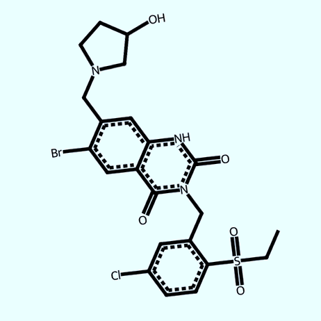 CCS(=O)(=O)c1ccc(Cl)cc1Cn1c(=O)[nH]c2cc(CN3CCC(O)C3)c(Br)cc2c1=O